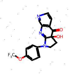 O=C1c2ccncc2N=C2N(c3ccc(OC(F)(F)F)cc3)CCC12O